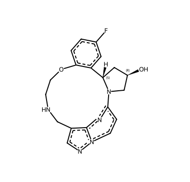 O[C@@H]1C[C@H]2c3cc(F)ccc3OCCNCc3cnn4ccc(nc34)N2C1